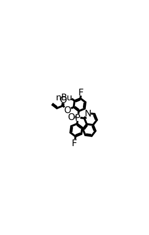 C=CC(=O)Oc1c(P(=O)(c2ccc(F)cc2)c2nccc3ccccc23)ccc(F)c1CCCC